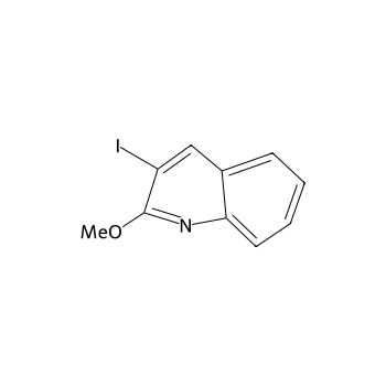 COc1nc2ccccc2cc1I